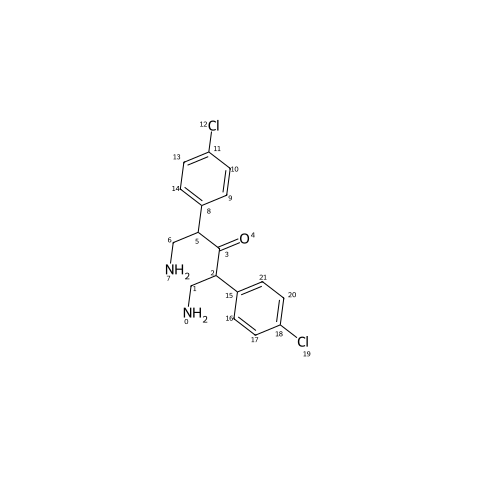 NCC(C(=O)C(CN)c1ccc(Cl)cc1)c1ccc(Cl)cc1